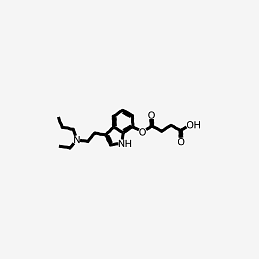 CCCN(CC)CCc1c[nH]c2c(OC(=O)CCC(=O)O)cccc12